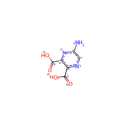 Nc1cnc(C(=O)O)c(C(=O)O)n1